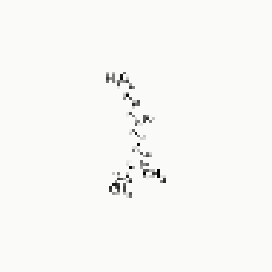 CCCCCC(Br)CCCCC(C)CCCC